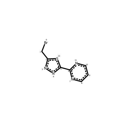 BrCc1nnc(-c2ncccn2)s1